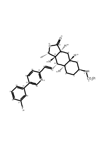 CCOC(=O)N[C@H]1CC[C@@H]2[C@@H](C1)C[C@@H]1C(=O)O[C@@H](C)[C@H]1[C@H]2/C=C/c1ccc(-c2cccc(F)c2)cn1